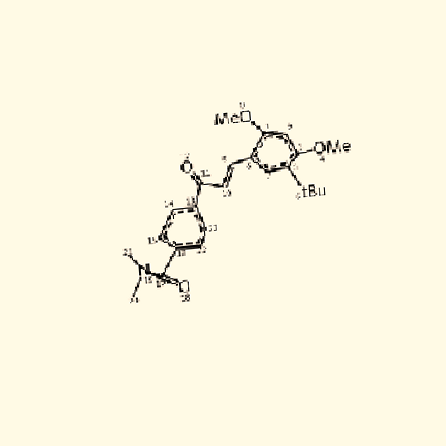 COc1cc(OC)c(C(C)(C)C)cc1/C=C/C(=O)c1ccc(C(=O)N(C)C)cc1